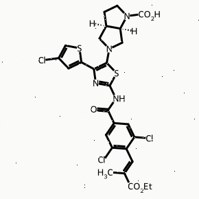 CCOC(=O)C(C)=Cc1c(Cl)cc(C(=O)Nc2nc(-c3cc(Cl)cs3)c(N3C[C@H]4CCN(C(=O)O)[C@H]4C3)s2)cc1Cl